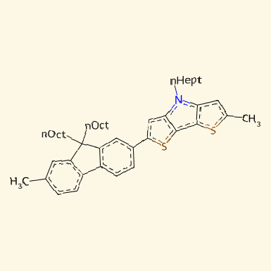 CCCCCCCCC1(CCCCCCCC)c2cc(C)ccc2-c2ccc(-c3cc4c(s3)c3sc(C)cc3n4CCCCCCC)cc21